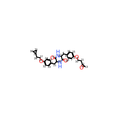 O=C1NC(Cc2ccc(OCCC3CO3)cc2)C(=O)NC1Cc1ccc(OCCC2CC2)cc1